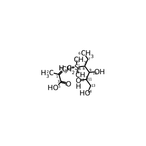 C=C(C)C(=O)O.CCC(C(O)C(O)CO)[Si](C)(C)C